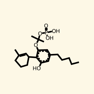 CCCCCc1cc(O)c(C2C=C(C)CCC2)c(OC(C)(C)OP(=O)(O)O)c1